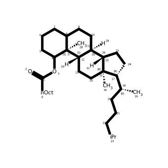 CCCCCCCCC(=O)OC1CCCC2CC[C@@H]3[C@H](CC[C@]4(C)[C@@H]([C@H](C)CCCC(C)C)CC[C@@H]34)[C@]21C